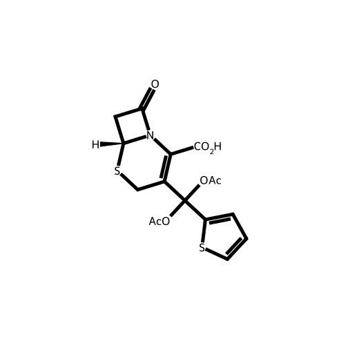 CC(=O)OC(OC(C)=O)(C1=C(C(=O)O)N2C(=O)C[C@H]2SC1)c1cccs1